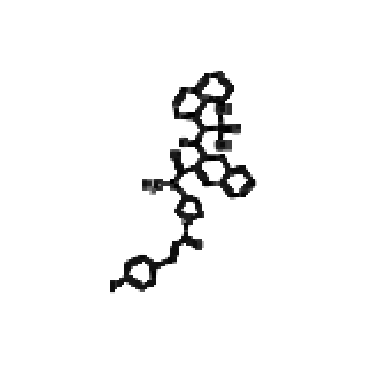 CN(C(=O)c1cc2ccccc2cc1C(=O)C(c1cccc2ccccc12)P(=O)(O)O)C1CCN(C(=O)/C=C/c2ccc(F)cc2)C1